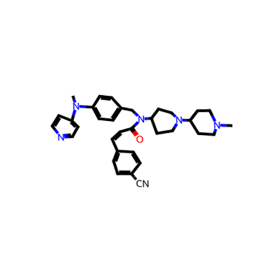 CN1CCC(N2CCC(N(Cc3ccc(N(C)c4ccncc4)cc3)C(=O)C=Cc3ccc(C#N)cc3)CC2)CC1